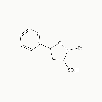 CCN1OC(c2ccccc2)CC1S(=O)(=O)O